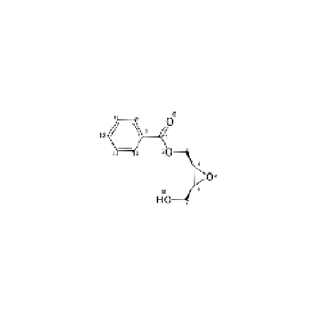 O=C(OC[C@H]1O[C@H]1CO)c1ccccc1